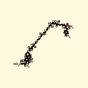 C[C@H](CCC(=O)O)[C@H]1CCC2[C@@H]3[C@H](O)C[C@@H]4CC(ONC(=O)CCC(=O)NCCOCCOCC(=O)NCCOCCOCC(=O)NC(CCC(=O)NCCCCC(NC(=O)c5ccc(N)cc5)C(N)=O)C(=O)O)CC[C@]4(C)[C@H]3C[C@H](O)[C@@]21C